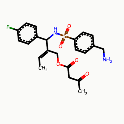 CC=C(COC(=O)CC(C)=O)C(NS(=O)(=O)c1ccc(CN)cc1)c1ccc(F)cc1